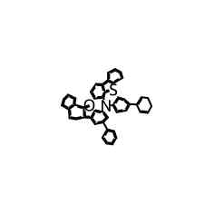 C1=CC(c2ccc(N(c3cc(-c4ccccc4)cc4c3oc3c5ccccc5ccc43)c3cccc4c3sc3ccccc34)cc2)=CCC1